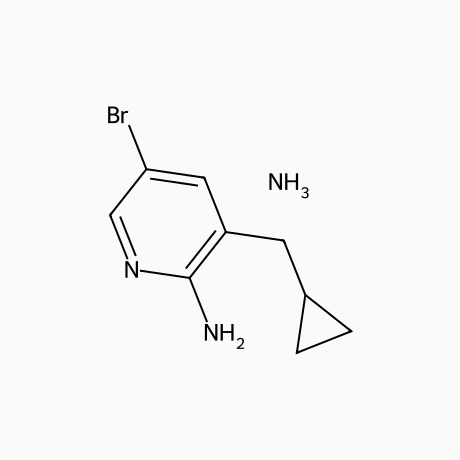 N.Nc1ncc(Br)cc1CC1CC1